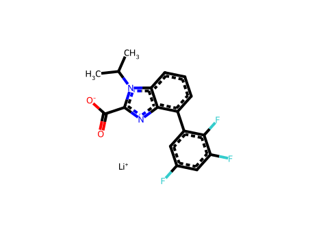 CC(C)n1c(C(=O)[O-])nc2c(-c3cc(F)cc(F)c3F)cccc21.[Li+]